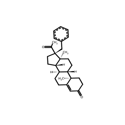 CC(=O)[C@@]1(Cc2ccccc2)CC[C@H]2[C@@H]3CCC4=CC(=O)CC[C@]4(C)[C@H]3CC[C@@]21C